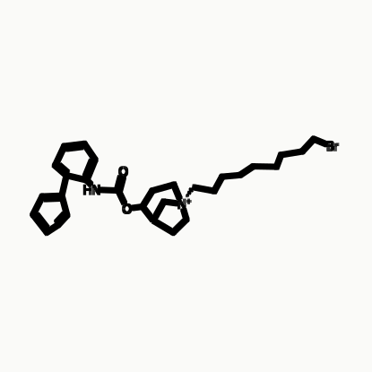 O=C(Nc1ccccc1-c1ccccc1)OC1CC[N@@+]2(CCCCCCCCCBr)CCC1C2